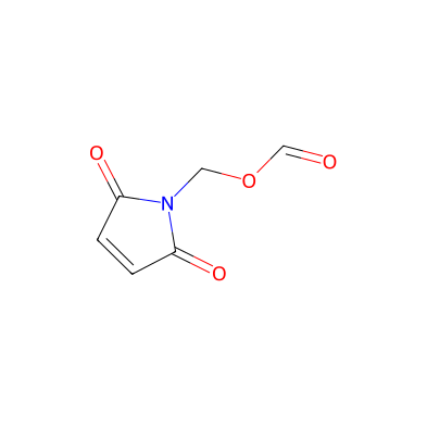 O=COCN1C(=O)C=CC1=O